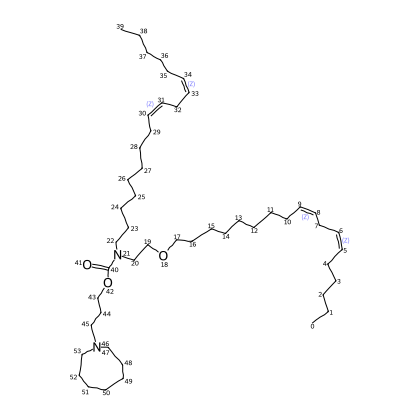 CCCCC/C=C\C/C=C\CCCCCCCCOCCN(CCCCCCCC/C=C\C/C=C\CCCCC)C(=O)OCCCN1CCCCCCC1